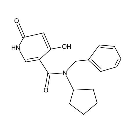 O=C(c1c[nH]c(=O)cc1O)N(Cc1ccccc1)C1CCCC1